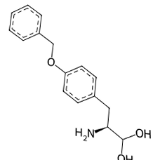 N[C@@H](Cc1ccc(OCc2ccccc2)cc1)C(O)O